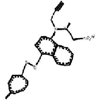 C#CCN(c1ccc(NSc2ccc(C)cc2)c2ccccc12)[C@@H](C)CC(=O)O